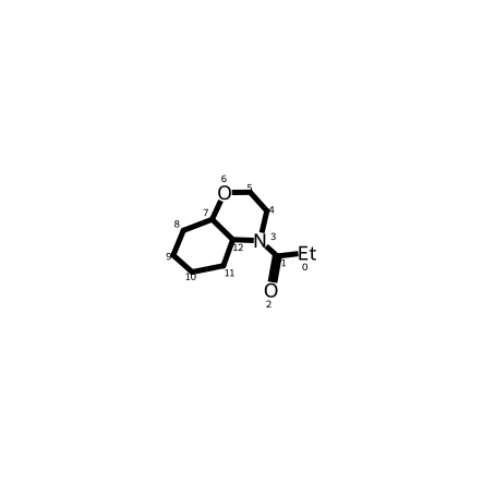 CCC(=O)N1CCOC2CCCCC21